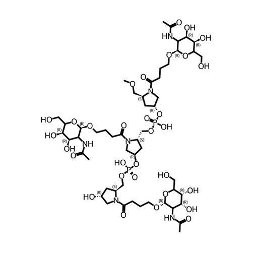 COC[C@@H]1C[C@@H](OP(=O)(O)OC[C@@H]2C[C@@H](OP(=O)(O)OC[C@@H]3C[C@@H](O)CN3C(=O)CCCO[C@@H]3OC(CO)[C@H](O)[C@H](O)C3NC(C)=O)CN2C(=O)CCCO[C@@H]2OC(CO)[C@H](O)[C@H](O)C2NC(C)=O)CN1C(=O)CCCO[C@@H]1OC(CO)[C@H](O)[C@H](O)C1NC(C)=O